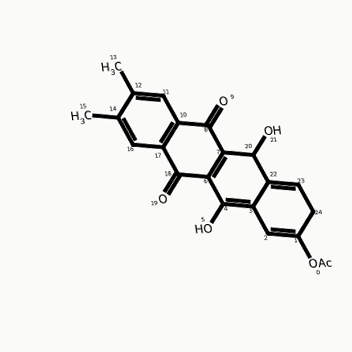 CC(=O)OC1=CC2=C(O)C3=C(C(=O)c4cc(C)c(C)cc4C3=O)C(O)C2=CC1